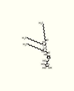 CCCCCCCCCCCC(=O)N[C@H](CSC[C@@H](COC(=O)CCCCCCCCCCC)OC(=O)CCCCCCCCCCC)C(=O)Nc1cn(C[C@H](O)C2OC(O)[C@@H](O)[C@@H]2O)nn1